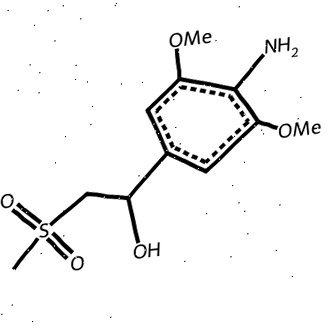 COc1cc(C(O)CS(C)(=O)=O)cc(OC)c1N